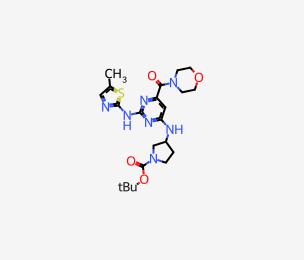 Cc1cnc(Nc2nc(NC3CCN(C(=O)OC(C)(C)C)C3)cc(C(=O)N3CCOCC3)n2)s1